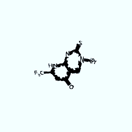 CC(C)n1cc2c(=O)cc(C(F)(F)F)[nH]c2nc1=S